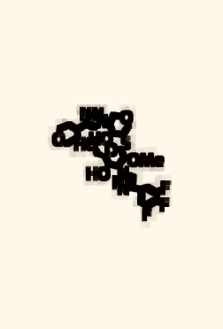 CO[C@@H]1[C@@H](n2cc(-c3cc(F)c(F)c(F)c3)nn2)[C@@H](O)[C@@H](CO)O[C@H]1S[C@@H]1COC[C@H](n2cc(C3CCOCC3)nn2)[C@H]1O